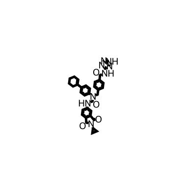 O=C(Nc1nn[nH]n1)c1ccc(CN(C(=O)Nc2ccc3c(c2)C(=O)N(C2CC2)C3=O)c2ccc(C3=CCCCC3)cc2)cc1